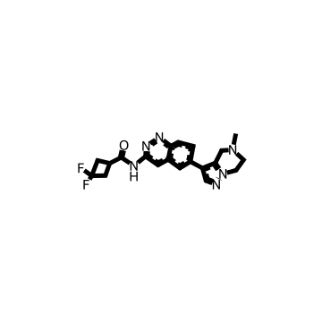 CN1CCn2ncc(-c3ccc4nnc(NC(=O)C5CC(F)(F)C5)cc4c3)c2C1